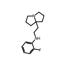 Fc1ccccc1NCCC12CCCN1CCC2